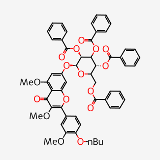 CCCCOc1ccc(-c2oc3cc(O[C@@H]4OC(COC(=O)c5ccccc5)[C@@H](OC(=O)c5ccccc5)C(OC(=O)c5ccccc5)[C@@H]4OC(=O)c4ccccc4)cc(OC)c3c(=O)c2OC)cc1OC